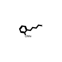 COc1ccccc1CCCCI